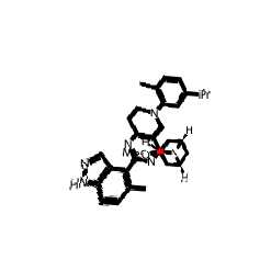 CO[C@@H]1C[C@@H]2C[C@H](C1)N2c1nc(-c2c(C)ccc3[nH]ncc23)nc2c1CN(c1cc(C(C)C)ccc1C)CC2